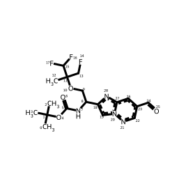 CC(C)(C)OC(=O)NC(COC(C)(CF)C(F)F)c1cn2ncc(C=O)cc2n1